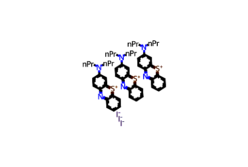 CCCN(CCC)c1ccc2nc3ccccc3[s+]c2c1.CCCN(CCC)c1ccc2nc3ccccc3[s+]c2c1.CCCN(CCC)c1ccc2nc3ccccc3[s+]c2c1.[I-].[I-].[I-]